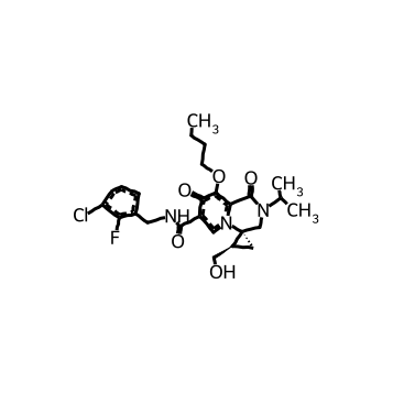 CCCCOc1c2n(cc(C(=O)NCc3cccc(Cl)c3F)c1=O)[C@@]1(C[C@H]1CO)CN(C(C)C)C2=O